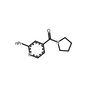 CCCc1cc(C(=O)N2CCCC2)ccn1